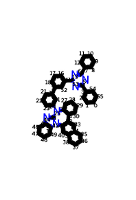 c1ccc(-c2nc(-c3ccccc3)nc(-c3cccc(-c4cccc(N5c6ccccc6-c6cc7ccccc7cc6-n6c5nc5ccccc56)c4)c3)n2)cc1